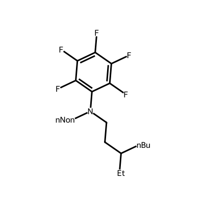 CCCCCCCCCN(CCC(CC)CCCC)c1c(F)c(F)c(F)c(F)c1F